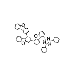 c1ccc(-c2nc(-c3ccccc3)nc(-c3cccc4oc5c(-c6cc(-c7ccc8oc9ccccc9c8c7)c7c(c6)oc6ccccc67)cccc5c34)n2)cc1